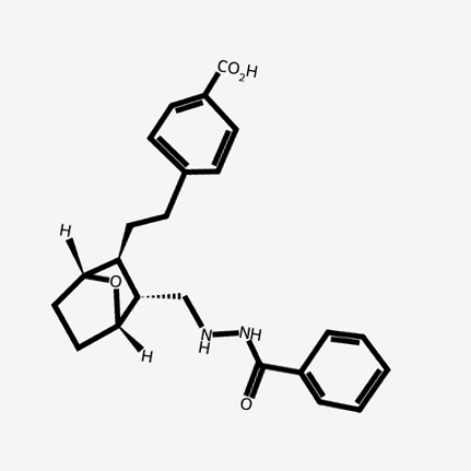 O=C(O)c1ccc(CC[C@H]2[C@H](CNNC(=O)c3ccccc3)[C@@H]3CC[C@H]2O3)cc1